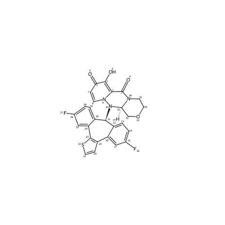 O=C1c2c(O)c(=O)ccn2N([C@H]2c3ccc(F)cc3-c3ccsc3-c3cc(F)ccc32)[C@@H]2COCCN12